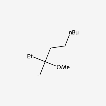 [CH2]C(CC)(CCCCCC)OC